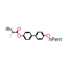 CCCCCOc1ccc(-c2ccc(OC(=O)C(F)C(C)CC)cc2)cc1